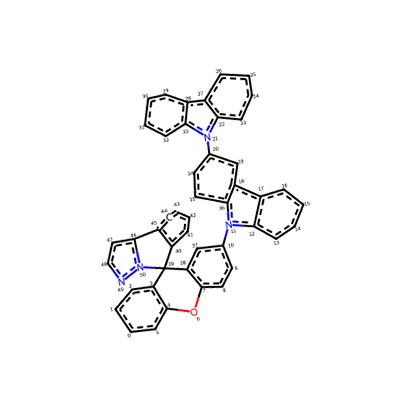 c1ccc2c(c1)Oc1ccc(-n3c4ccccc4c4cc(-n5c6ccccc6c6ccccc65)ccc43)cc1C21c2ccccc2-c2ccnn21